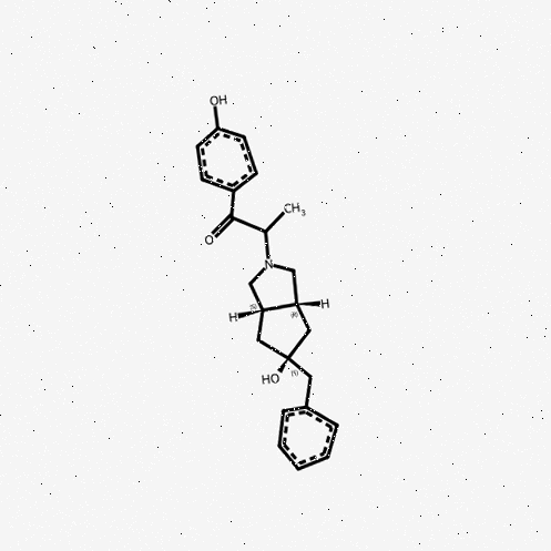 CC(C(=O)c1ccc(O)cc1)N1C[C@@H]2C[C@](O)(Cc3ccccc3)C[C@@H]2C1